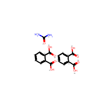 NC(N)=O.O=C(O)c1ccccc1C(=O)O.O=C(O)c1ccccc1C(=O)O